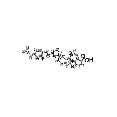 O=C(O)c1ccc2nc(CC3CCN(c4cccc(OCc5ccc(CC6CC6)cc5F)n4)CC3)n(C[C@@H]3CCO3)c2c1